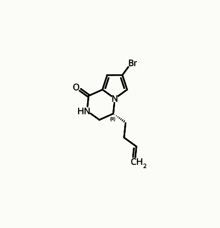 C=CCC[C@@H]1CNC(=O)c2cc(Br)cn21